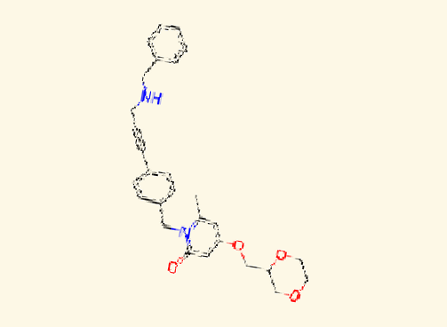 Cc1cc(OCC2COCCO2)cc(=O)n1Cc1ccc(C#CCNCc2ccccc2)cc1